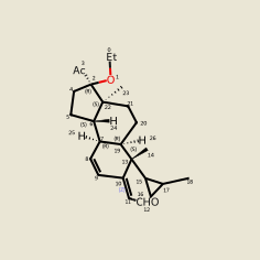 CCO[C@]1(C(C)=O)CC[C@H]2[C@@H]3C=C/C(=C/C=O)[C@@](C)(C4CC4C)[C@@H]3CC[C@@]21C